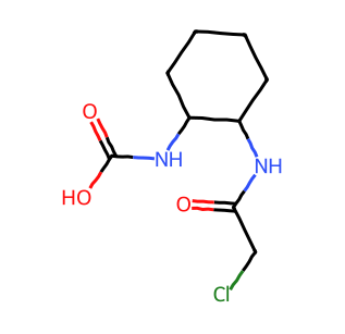 O=C(O)NC1CCCCC1NC(=O)CCl